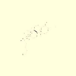 CCCC1C2CCC3=C(CC[C@]4(C)[C@@H]([C@H](C)CCCC(C)C)CC[C@@H]34)[C@@]2(C)CC[C@@H]1O